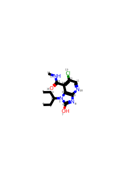 CCC(CC)n1c(O)nc2ncc(Cl)c(C(=O)NC)c21